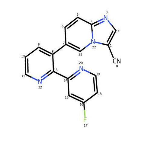 N#Cc1cnc2ccc(-c3cccnc3-c3cc(F)ccn3)cn12